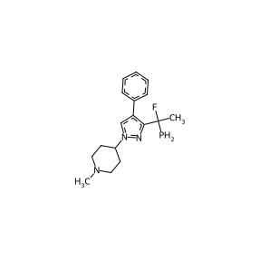 CN1CCC(n2cc(-c3ccccc3)c(C(C)(F)P)n2)CC1